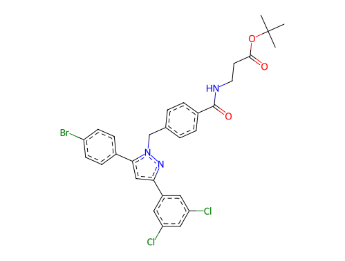 CC(C)(C)OC(=O)CCNC(=O)c1ccc(Cn2nc(-c3cc(Cl)cc(Cl)c3)cc2-c2ccc(Br)cc2)cc1